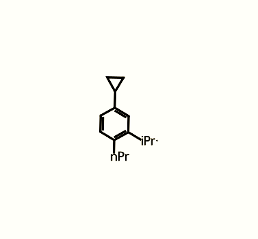 CCCc1ccc(C2CC2)cc1[C](C)C